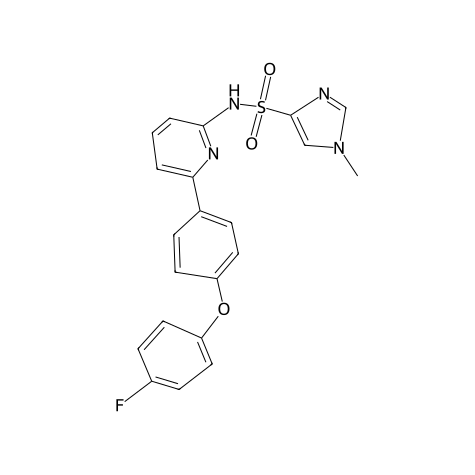 Cn1cnc(S(=O)(=O)Nc2cccc(-c3ccc(Oc4ccc(F)cc4)cc3)n2)c1